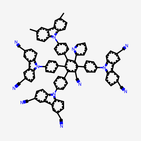 Cc1ccc2c(c1)c1cc(C)ccc1n2-c1ccc(-c2c(-c3ccc(-n4c5ccc(C#N)cc5c5cc(C#N)ccc54)cc3)c(-c3ccc(-n4c5ccc(C#N)cc5c5cc(C#N)ccc54)cc3)c(C#N)c(-c3ccc(-n4c5ccc(C#N)cc5c5cc(C#N)ccc54)cc3)c2-c2ccccn2)cc1